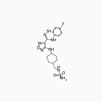 NS(=O)(=O)NCC1CCC(Nc2nonc2/C(=N/S)Nc2ccc(F)cc2)CC1